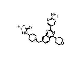 CC(=O)NC1CCN(Cc2ccc3c(N4CCOCC4)nc(-c4cnc(N)nc4)nc3c2)CC1